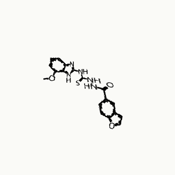 COc1cccc2nc(NC(=S)NNC(=O)c3ccc4occc4c3)[nH]c12